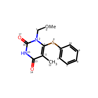 COCn1c(Sc2ccccc2)c(C)c(=O)[nH]c1=O